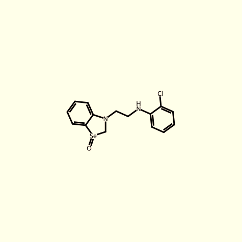 O=[Se]1CN(CCNc2ccccc2Cl)c2ccccc21